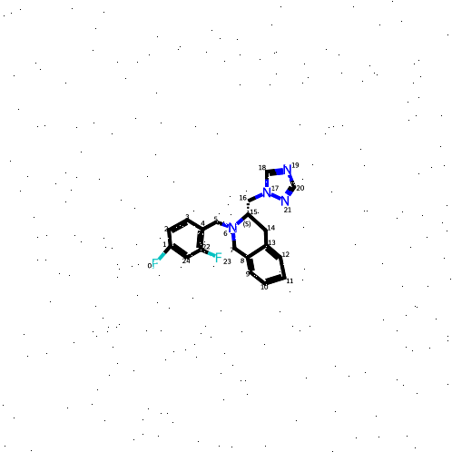 Fc1ccc(CN2Cc3ccccc3C[C@H]2Cn2cncn2)c(F)c1